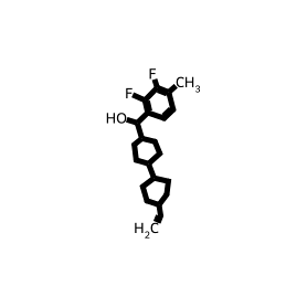 C=CC1CCC(C2CCC(C(O)c3ccc(C)c(F)c3F)CC2)CC1